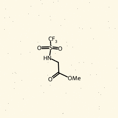 COC(=O)CNS(=O)(=O)C(F)(F)F